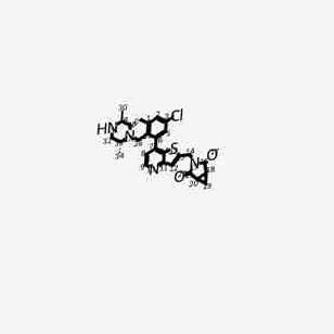 Cc1cc(Cl)cc(-c2ccnc3cc(CN4C(=O)C5CC5C4=O)sc23)c1CN1C[C@H](C)NC[C@H]1C